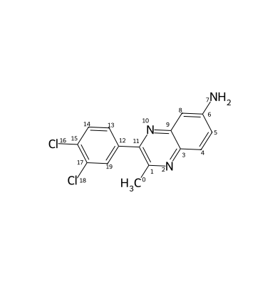 Cc1nc2ccc(N)cc2nc1-c1ccc(Cl)c(Cl)c1